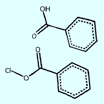 O=C(O)c1ccccc1.O=C(OCl)c1ccccc1